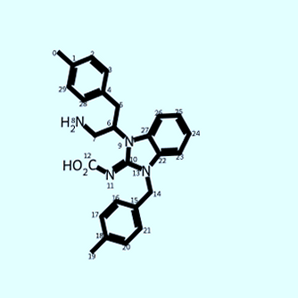 Cc1ccc(CC(CN)n2c(=NC(=O)O)n(Cc3ccc(C)cc3)c3ccccc32)cc1